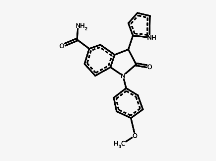 COc1ccc(N2C(=O)C(c3ccc[nH]3)c3cc(C(N)=O)ccc32)cc1